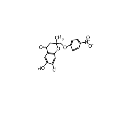 CC1(COc2ccc([N+](=O)[O-])cc2)CC(=O)c2cc(O)c(Cl)cc2O1